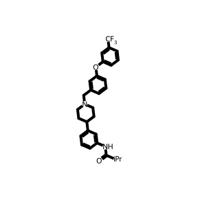 CC(C)C(=O)Nc1cccc(C2CCN(Cc3cccc(Oc4cccc(C(F)(F)F)c4)c3)CC2)c1